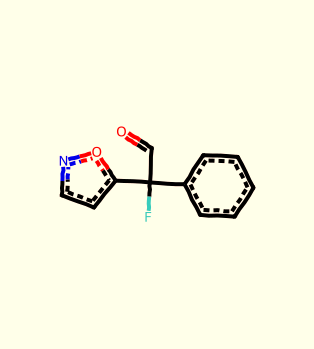 O=CC(F)(c1ccccc1)c1ccno1